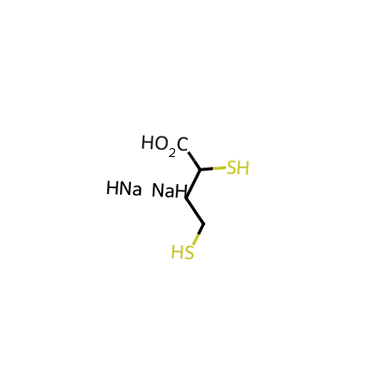 O=C(O)C(S)CCS.[NaH].[NaH]